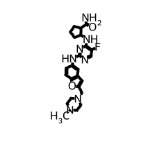 CN1CCN(Cc2cc3cc(Nc4ncc(F)c(NC5CCCC5C(N)=O)n4)ccc3o2)CC1